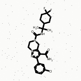 CC(C)(NC(=O)N1CCn2nc(-c3cccc(Cl)c3)c(C(N)=O)c2C1)C1CCC(F)(F)CC1